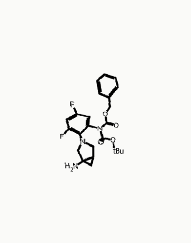 CC(C)(C)OC(=O)N(C(=O)OCc1ccccc1)c1cc(F)cc(F)c1N1CC2CC2(N)C1